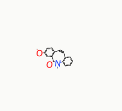 COc1ccc2c(c1)C(=O)N(C)c1ccccc1C#C2